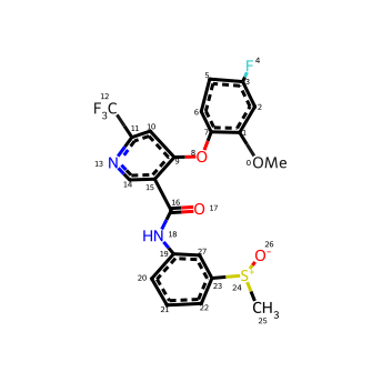 COc1cc(F)ccc1Oc1cc(C(F)(F)F)ncc1C(=O)Nc1cccc([S+](C)[O-])c1